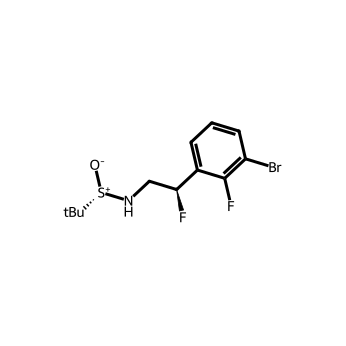 CC(C)(C)[S@+]([O-])NC[C@H](F)c1cccc(Br)c1F